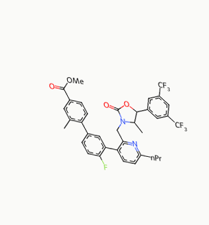 CCCc1ccc(-c2cc(-c3ccc(C(=O)OC)cc3C)ccc2F)c(CN2C(=O)OC(c3cc(C(F)(F)F)cc(C(F)(F)F)c3)C2C)n1